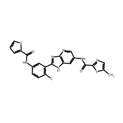 Cc1cnc(C(=O)Nc2cnc3nc(-c4cc(NC(=O)c5ccco5)ccc4Cl)[nH]c3c2)s1